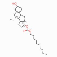 CCCCCCCCCCOC(=O)O[C@H]1CCC2C3C(CC[C@@]21C)c1ccc(O)cc1C[C@H]3CC